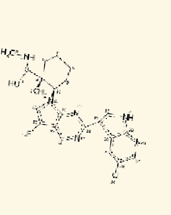 CNC(O)[C@]1(C)CCCC[C@H]1n1cc(F)c2cnc(-c3c[nH]c4ncc(Cl)cc34)nc21